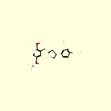 CCNC(=O)c1cnc(C(N)=O)c(C[C@H]2C[C@@H](c3ccc(OC)c(OCC)c3)CN2C(C)=O)c1